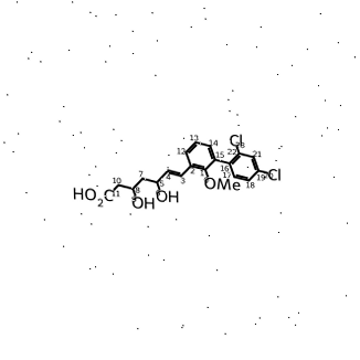 COc1c(C=CC(O)CC(O)CC(=O)O)cccc1-c1ccc(Cl)cc1Cl